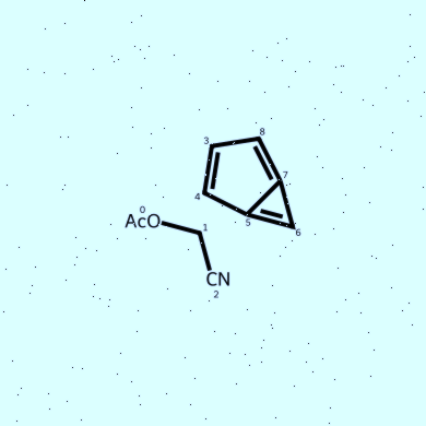 CC(=O)OCC#N.c1cc2cc-2c1